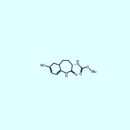 CC(C)(C)OC(=O)N[C@H]1CCC2CC(C#N)=CC=C2NC1=O